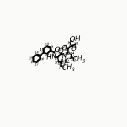 CCCC[C@H](NC(=O)c1cccc(-c2ccccc2)c1)C(=O)N[C@@H](CC(C)C)C(=O)[C@]1(CO)CO1